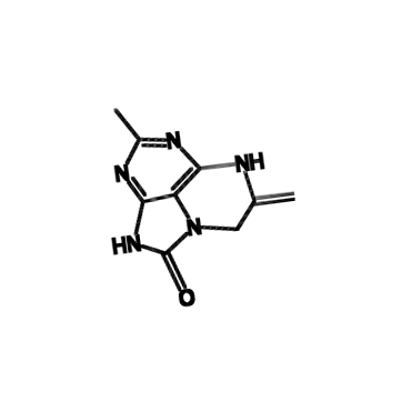 C=C1Cn2c(=O)[nH]c3nc(C)nc(c32)N1